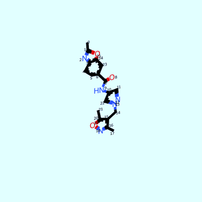 Cc1nc2ccc(C(=O)Nc3cnn(Cc4c(C)noc4C)c3)cc2o1